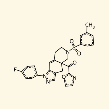 Cc1cccc(S(=O)(=O)N2CCC3=Cc4c(cnn4-c4ccc(F)cc4)CC3(C(=O)c3ncco3)C2)c1